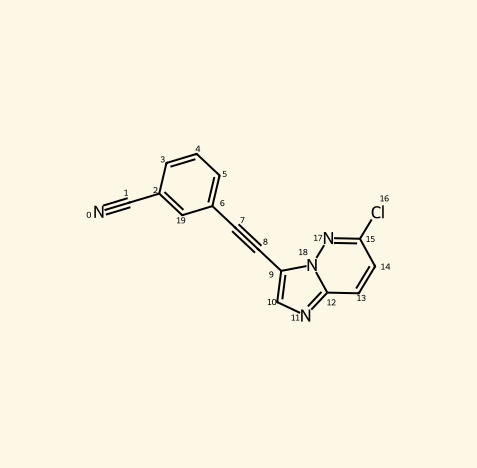 N#Cc1cccc(C#Cc2cnc3ccc(Cl)nn23)c1